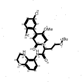 COc1cn(C(CCOC(C)(C)C)C(=O)Nc2cccc3c2NCCO3)c(=O)cc1-c1cc(Cl)ccc1C(C)=O